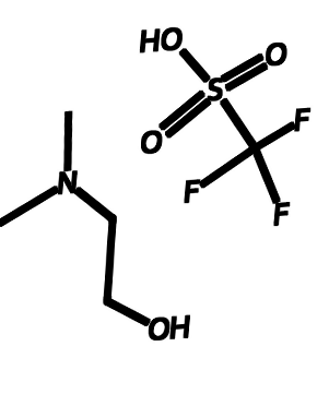 CN(C)CCO.O=S(=O)(O)C(F)(F)F